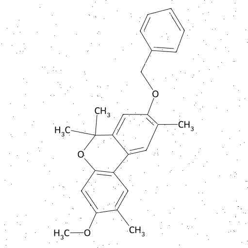 COc1cc2c(cc1C)-c1cc(C)c(OCc3ccccc3)cc1C(C)(C)O2